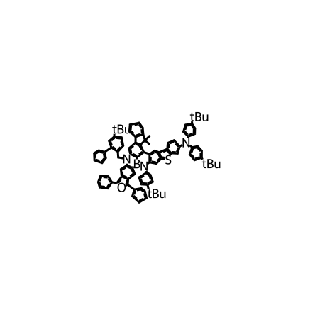 CC(C)(C)c1ccc(N2B3c4cc5c(-c6ccccc6)oc(-c6ccccc6)c5cc4N(Cc4ccc(C(C)(C)C)cc4-c4ccccc4)c4cc5c(c(c43)-c3cc4c(cc32)sc2cc(N(c3ccc(C(C)(C)C)cc3)c3ccc(C(C)(C)C)cc3)ccc24)C(C)(C)c2ccccc2-5)cc1